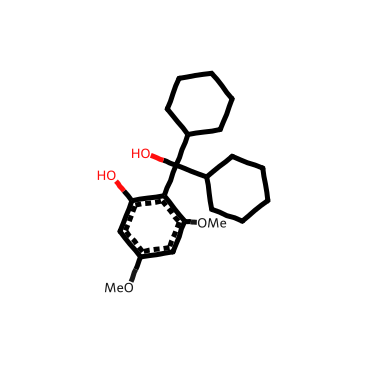 COc1cc(O)c(C(O)(C2CCCCC2)C2CCCCC2)c(OC)c1